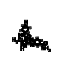 Cc1[nH]nc(-c2nc3cc(C(N)=O)ccc3[nH]2)c1C(=O)NC1CCNCC1